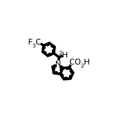 [2H]C(c1ccc(C(F)(F)F)cc1)n1ccc2cccc(C(=O)O)c21